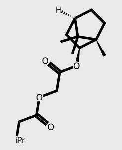 CC(C)CC(=O)OCC(=O)O[C@H]1C[C@H]2CC[C@@]1(C)C2(C)C